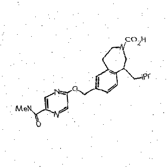 CNC(=O)c1cnc(OCc2ccc3c(c2)CCN(C(=O)O)CC3CC(C)C)cn1